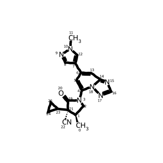 C[C@@H]1CN(c2cc(-c3cnn(C)c3)cc3ncnn23)C(=O)[C@]1(C#N)C1CC1